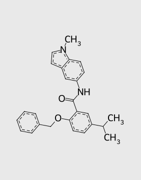 CC(C)c1ccc(OCc2ccccc2)c(C(=O)Nc2ccc3c(ccn3C)c2)c1